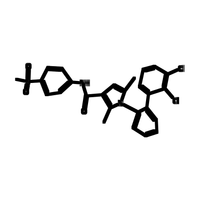 Cc1cc(C(=O)Nc2ccc(S(C)(=O)=O)cc2)c(C)n1-c1ccccc1-c1cccc(Cl)c1Cl